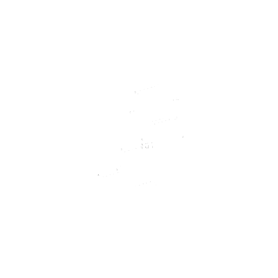 CC(C)=C(C)CNc1cc(C)ccc1C